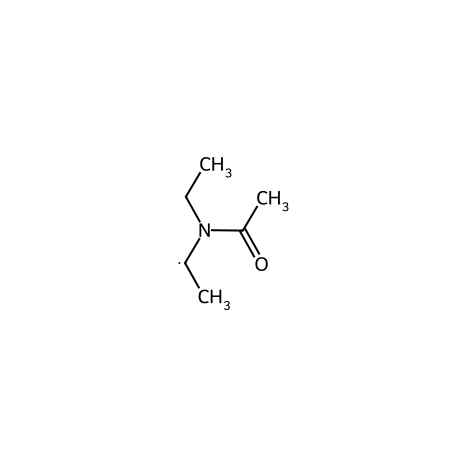 C[CH]N(CC)C(C)=O